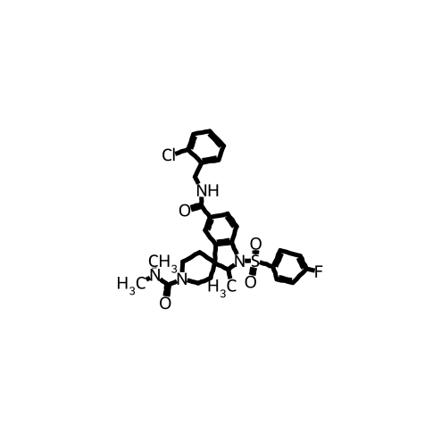 CC1N(S(=O)(=O)c2ccc(F)cc2)c2ccc(C(=O)NCc3ccccc3Cl)cc2C12CCN(C(=O)N(C)C)CC2